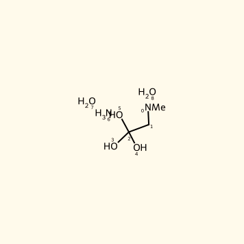 CNCC(O)(O)O.N.O.O